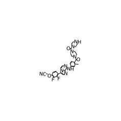 Cc1cc(Nc2nccn3c(-c4ccc(OCC#N)c(F)c4F)cnc23)ccc1C(=O)N1CCN(C(=O)N2CCNCC2)CC1